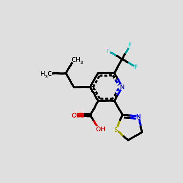 CC(C)Cc1cc(C(F)(F)F)nc(C2=NCCS2)c1C(=O)O